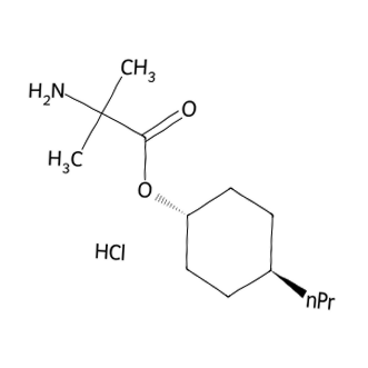 CCC[C@H]1CC[C@H](OC(=O)C(C)(C)N)CC1.Cl